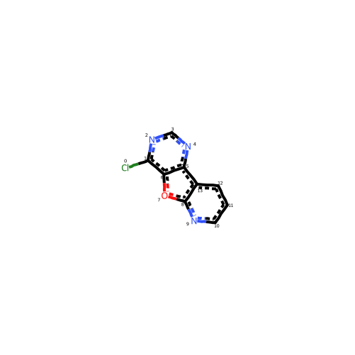 Clc1ncnc2c1oc1ncccc12